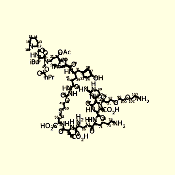 CCCC(=O)OCN(C(=O)C(NC(=O)[C@H]1CCCCN1C)[C@@H](C)CC)[C@H](C[C@@H](OC(C)=O)c1nc(C(=O)N[C@@H](Cc2ccc(O)cc2)C[C@H](C)C(=O)NNC(=O)OCCSSC[C@H](NC(=O)[C@H](CC(=O)O)NC(=O)[C@@H](N)CNC(=O)C(CCCCN)NC(=O)[C@H](CC(=O)O)NC(=O)C(CCCNC(=N)N)NC(=O)CCOCCOCCN)C(=O)O)cs1)C(C)C